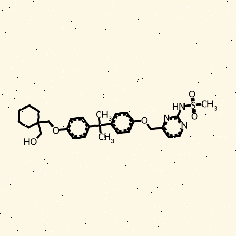 CC(C)(c1ccc(OCc2ccnc(NS(C)(=O)=O)n2)cc1)c1ccc(OCC2(CO)CCCCC2)cc1